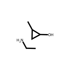 CC1CC1O.CCN